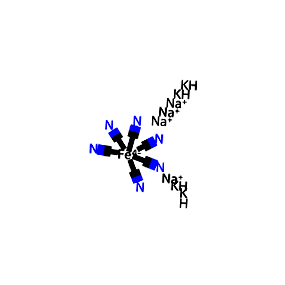 N#[C][Fe-4]([C]#N)([C]#N)([C]#N)([C]#N)[C]#N.[KH].[KH].[KH].[KH].[Na+].[Na+].[Na+].[Na+]